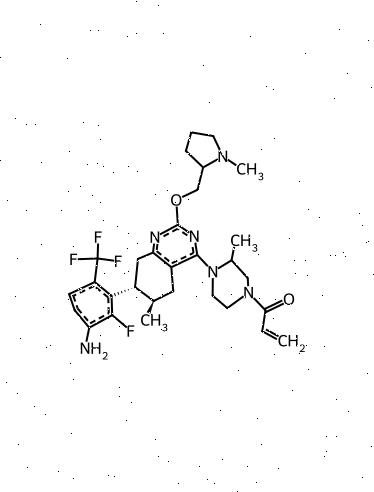 C=CC(=O)N1CCN(c2nc(OCC3CCCN3C)nc3c2C[C@@H](C)[C@H](c2c(C(F)(F)F)ccc(N)c2F)C3)C(C)C1